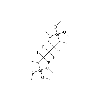 CO[Si](OC)(OC)C(C)C(F)(F)C(F)(F)C(F)(F)C(C)[Si](OC)(OC)OC